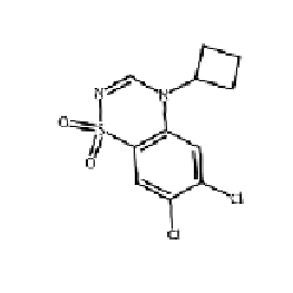 O=S1(=O)N=CN(C2CCC2)c2cc(Cl)c(Cl)cc21